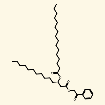 CCCCCCCCCCCCCCCC(=O)O[C@H](CCCCCCCCCCC)CC(=O)OCC(=O)c1ccccc1